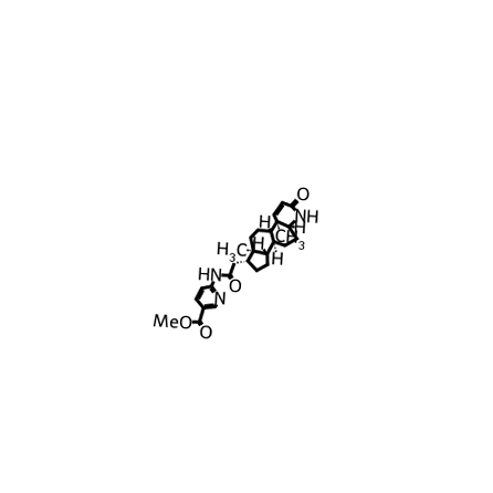 COC(=O)c1ccc(NC(=O)C[C@H]2CC[C@H]3[C@@H]4CC[C@H]5NC(=O)C=C[C@]5(C)[C@H]4CC[C@]23C)nc1